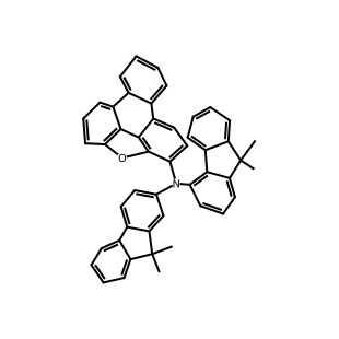 CC1(C)c2ccccc2-c2ccc(N(c3cccc4c3-c3ccccc3C4(C)C)c3ccc4c5ccccc5c5cccc6oc3c4c65)cc21